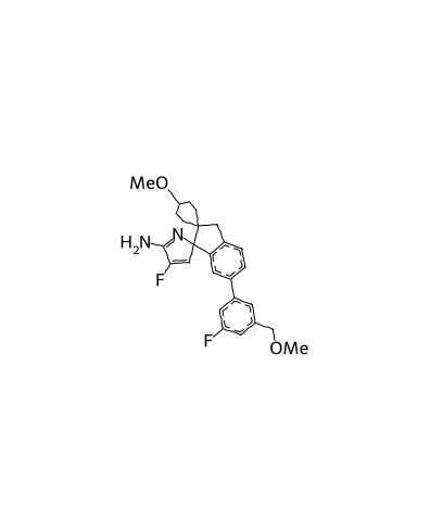 COCc1cc(F)cc(-c2ccc3c(c2)C2(C=C(F)C(N)=N2)C2(CCC(OC)CC2)C3)c1